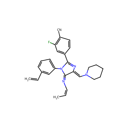 C=Cc1cccc(N2C(c3ccc(C#N)c(F)c3)=NC(=C\N3CCCCC3)/C2=N\C=C/C)c1